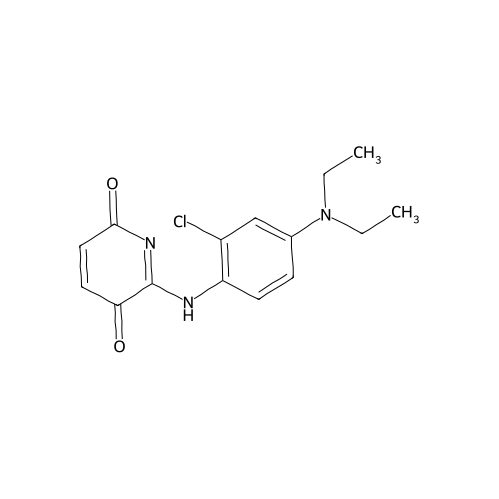 CCN(CC)c1ccc(NC2=NC(=O)C=CC2=O)c(Cl)c1